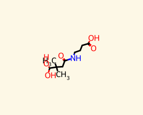 CC(C)(CC(=O)NCCCC(=O)O)C(O)O